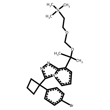 CC(C)(OCOCC[Si](C)(C)C)c1cccn2c(C3(c4ccc(Br)cc4)CCC3)nnc12